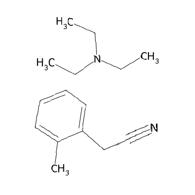 CCN(CC)CC.Cc1ccccc1CC#N